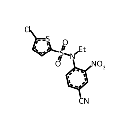 CCN(c1ccc(C#N)cc1[N+](=O)[O-])S(=O)(=O)c1ccc(Cl)s1